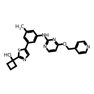 Cc1cc(Nc2nccc(OCc3ccncc3)n2)cc(-c2cnc(C3(O)CCC3)s2)c1